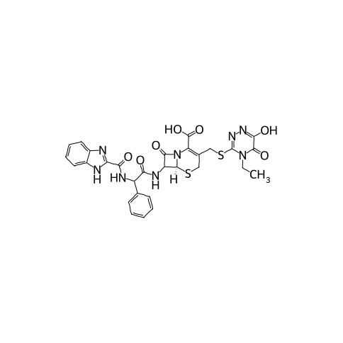 CCn1c(SCC2=C(C(=O)O)N3C(=O)C(NC(=O)C(NC(=O)c4nc5ccccc5[nH]4)c4ccccc4)[C@@H]3SC2)nnc(O)c1=O